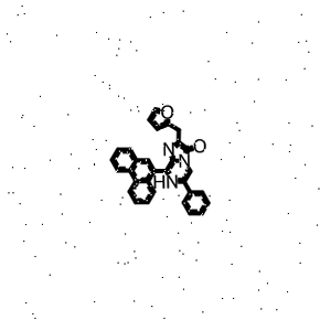 O=c1c(Cc2ccco2)nc2c(-c3cc4ccccc4c4ccccc34)[nH]c(-c3ccccc3)cn1-2